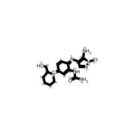 CCn1ncc(/N=C2C=C/C(=[N+]3/CCCCC3CO)C=C/2NC(N)=O)c1N